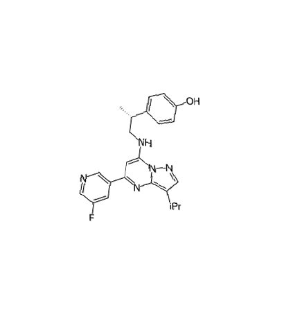 CC(C)c1cnn2c(NC[C@H](C)c3ccc(O)cc3)cc(-c3cncc(F)c3)nc12